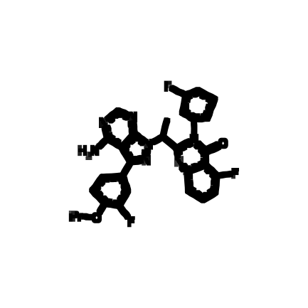 CC(C)Oc1ccc(-c2nn(C(C)c3nc4cccc(F)c4c(=O)n3-c3cccc(F)c3)c3ncnc(N)c23)cc1F